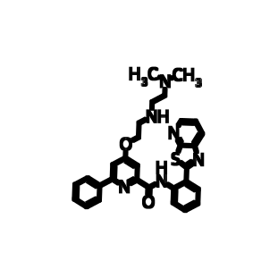 CN(C)CCNCCOc1cc(C(=O)Nc2ccccc2-c2nc3cccnc3s2)nc(-c2ccccc2)c1